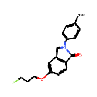 CNc1ccc(N2Cc3cc(OCCCF)ccc3C2=O)cc1